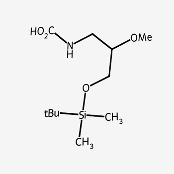 COC(CNC(=O)O)CO[Si](C)(C)C(C)(C)C